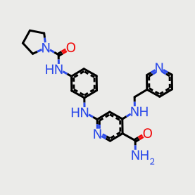 NC(=O)c1cnc(Nc2cccc(NC(=O)N3CCCC3)c2)cc1NCc1cccnc1